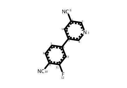 N#Cc1cncc(-c2ccc(C#N)c(F)c2)c1